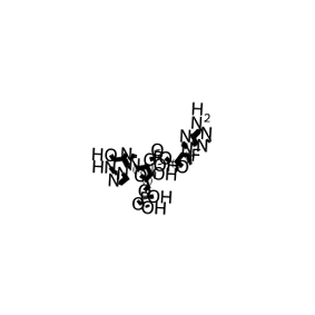 Nc1ncnc2c1ncn2[C@@]1(F)CO[C@H](COP(=O)(O)O[C@@H]2[C@H](O)[C@@H](COP(=O)(O)O)O[C@H]2n2cnc3c2-n2ccnc2NC3O)C1